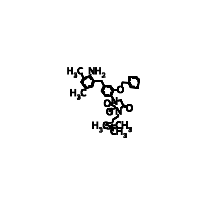 Cc1cc(C)c(N)c(Cc2ccc(N3CC(=O)N(CC[Si](C)(C)C)S3(=O)=O)c(OCc3ccccc3)c2)c1